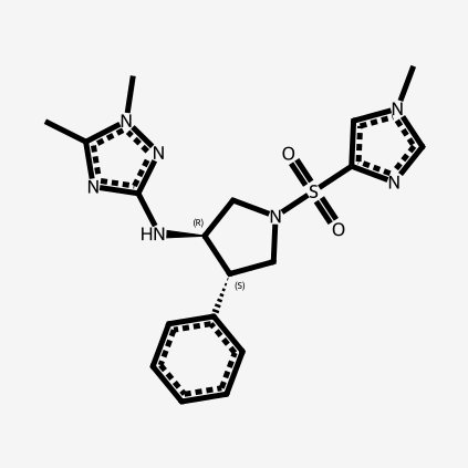 Cc1nc(N[C@H]2CN(S(=O)(=O)c3cn(C)cn3)C[C@@H]2c2ccccc2)nn1C